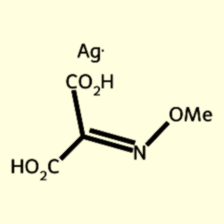 CON=C(C(=O)O)C(=O)O.[Ag]